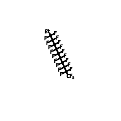 [CH2]CC(F)(F)C(F)(F)C(F)(F)C(F)(F)C(F)(F)C(F)(F)C(F)(F)C(F)(F)C(F)(F)C(F)(F)F